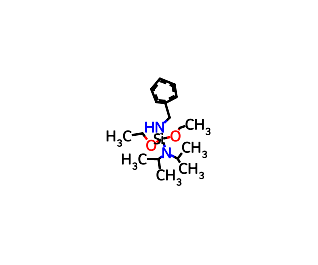 CCO[Si](NCc1ccccc1)(OCC)N(C(C)C)C(C)C